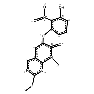 CSc1ncc2cc(Oc3cccc(O)c3[N+](=O)[O-])c(=O)n(C)c2n1